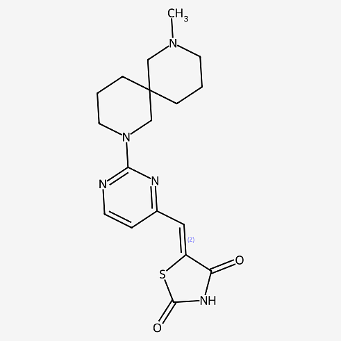 CN1CCCC2(CCCN(c3nccc(/C=C4\SC(=O)NC4=O)n3)C2)C1